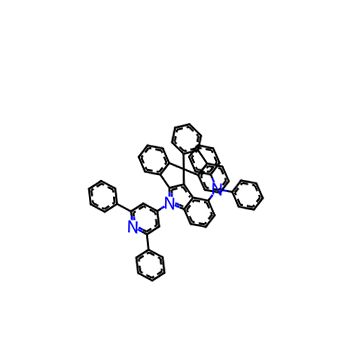 c1ccc(-c2cc(-n3c4c(c5c(N(c6ccccc6)c6ccccc6)cccc53)C3(c5ccccc5-c5ccccc53)c3ccccc3-4)cc(-c3ccccc3)n2)cc1